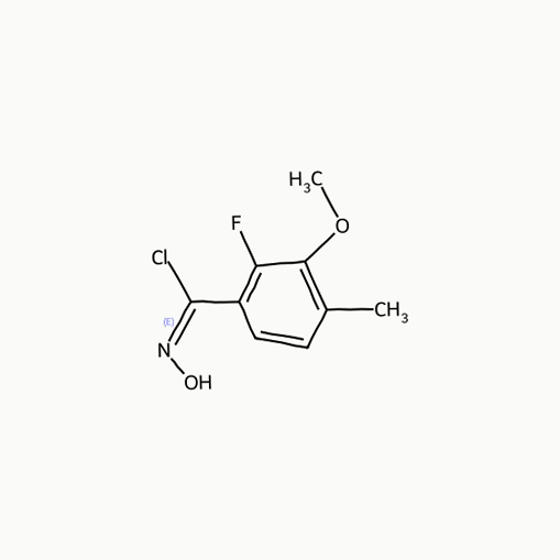 COc1c(C)ccc(/C(Cl)=N\O)c1F